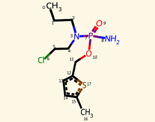 CCCN(CCCl)P(N)(=O)OCc1ccc(C)s1